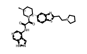 C[C@H]1CC[C@H](c2ccc3sc(CCN4CCCC4)nc3c2)N(C(=O)C(=O)Nc2cncc3[nH]ncc23)C1